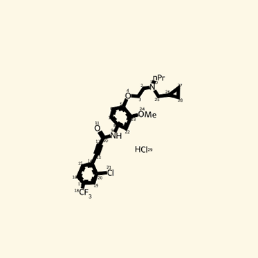 CCCN(CCOc1ccc(NC(=O)C#Cc2ccc(C(F)(F)F)cc2Cl)cc1OC)CC1CC1.Cl